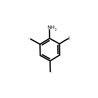 [CH2]c1cc([CH2])c(N)c(I)c1